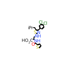 CC(C)Cc1sc(NCC(NC(=O)c2cccs2)C(=O)O)nc1-c1ccc(Cl)c(Cl)c1